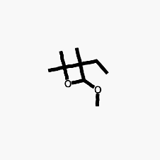 CCC1(C)C(OC)OC1(C)C